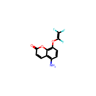 Nc1ccc(OC(F)=C(F)F)c2oc(=O)ccc12